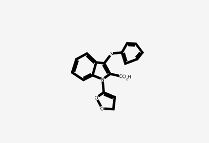 O=C(O)c1c(Sc2ccccc2)c2ccccc2n1C1=CCOO1